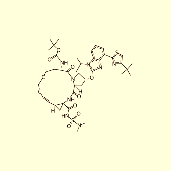 CC(C)n1c(O[C@@H]2C[C@H]3C(=O)N[C@]4(C(=O)NS(=O)(=O)N(C)C)C[C@H]4/C=C\CCCCC[C@H](NC(=O)OC(C)(C)C)C(=O)N3C2)nc2c(-c3nc(C(C)(C)C)cs3)cccc21